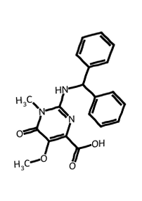 COc1c(C(=O)O)nc(NC(c2ccccc2)c2ccccc2)n(C)c1=O